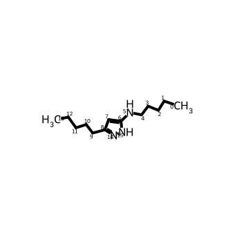 CCCCCNc1cc(CCCCC)n[nH]1